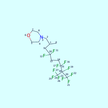 CC(CN1CCOCC1)CC(F)(F)CCC(F)(F)C(F)(C(F)(F)F)C(F)(F)F